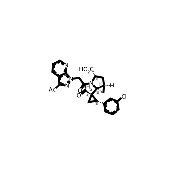 CC(=O)c1nn(CC(=O)N2[C@H](C(=O)O)C[C@H]3C[C@@]32[C@@]2(C(N)=O)C[C@H]2c2cccc(Cl)c2)c2ncccc12